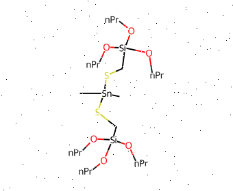 CCCO[Si](C[S][Sn]([CH3])([CH3])[S]C[Si](OCCC)(OCCC)OCCC)(OCCC)OCCC